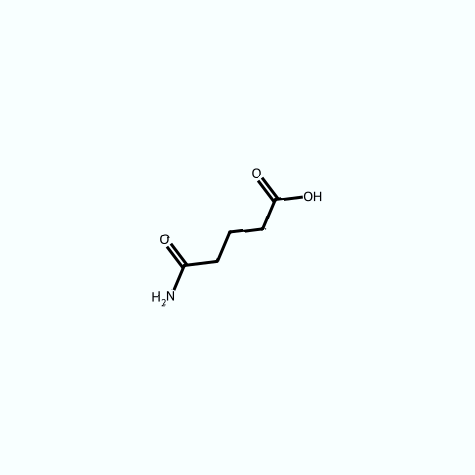 NC(=O)CC[CH]C(=O)O